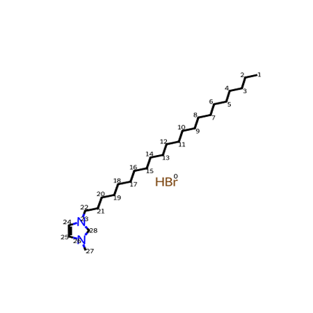 Br.CCCCCCCCCCCCCCCCCCCCCCN1C=CN(C)C1